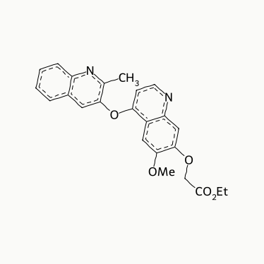 CCOC(=O)COc1cc2nccc(Oc3cc4ccccc4nc3C)c2cc1OC